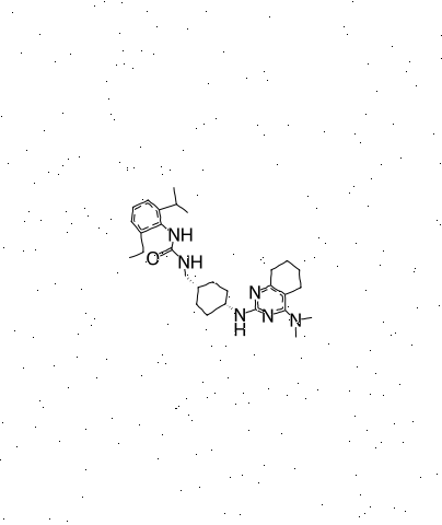 CCc1cccc(C(C)C)c1NC(=O)NC[C@H]1CC[C@@H](Nc2nc3c(c(N(C)C)n2)CCCC3)CC1